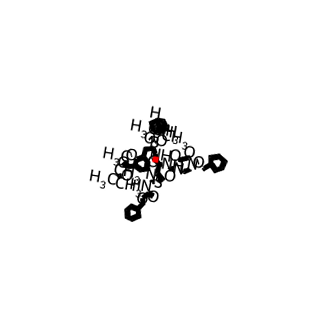 COc1c(CC(NC(=O)C(NC(=O)N2CCN(OCc3ccccc3)C(=O)C2=O)c2csc(NC(=O)OCc3ccccc3)n2)B2OC3C[C@H]4C[C@@H](C4(C)C)[C@]3(C)O2)cccc1C(=O)OC(C)(C)C